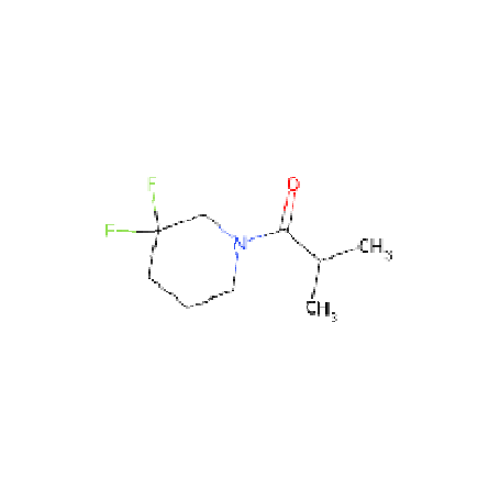 CC(C)C(=O)N1CCCC(F)(F)C1